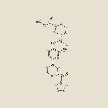 CC(C)(C)OC(=O)N1CCCC(C(=O)Nc2ccc(N3CCCC(C(=O)N4CCCC4)C3)nc2N)C1